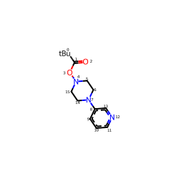 CC(C)(C)C(=O)ON1CCN(c2cccnc2)CC1